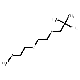 COCCOCCSCC(C)(C)C